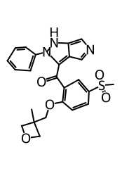 CC1(COc2ccc(S(C)(=O)=O)cc2C(=O)c2c3cncc-3[nH]n2-c2ccccc2)COC1